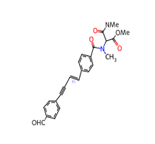 CNC(=O)C(C(=O)OC)N(C)C(=O)c1ccc(/C=C/C#Cc2ccc(C=O)cc2)cc1